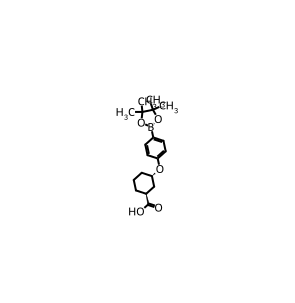 CC1(C)OB(c2ccc(O[C@H]3CCC[C@H](C(=O)O)C3)cc2)OC1(C)C